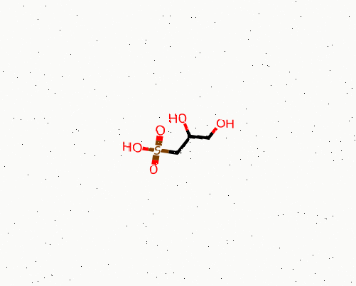 O=S(=O)(O)[CH]C(O)CO